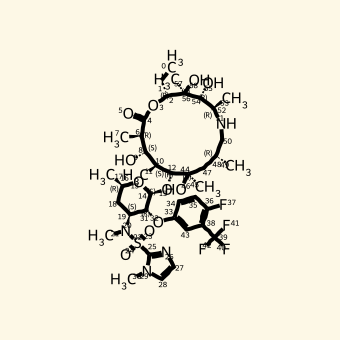 CC[C@H]1OC(=O)[C@H](C)[C@@H](O)[C@H](C)[C@@H](O[C@@H]2O[C@H](C)C[C@H](N(C)S(=O)(=O)c3nccn3C)[C@H]2Oc2ccc(F)c(C(F)(F)F)c2)[C@](C)(O)C[C@@H](C)CN[C@H](C)[C@@H](O)[C@]1(C)O